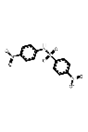 O=[N+]([O-])c1ccc(NS(=O)(=O)c2ccc([N+](=O)[O-])cc2)cc1